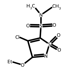 CCOC1=NS(=O)(=O)C(S(=O)(=O)N(C)C)=C1Cl